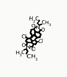 CCCC(CC)N1C(=O)c2ccc3c4c(Cl)cc5c6c(cc(Cl)c(c7ccc(c2c37)C1=O)c64)C(=O)N(C(CC)CCC)C5=O